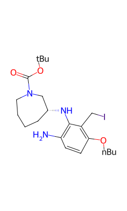 CCCCOc1ccc(N)c(N[C@@H]2CCCCN(C(=O)OC(C)(C)C)C2)c1CI